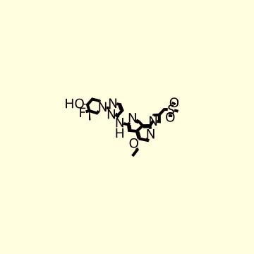 CCOc1cnc(N2CC(CS(C)(=O)=O)C2)c2cnc(Nc3ccnc(N4CC[C@@H](O)[C@@](C)(F)C4)n3)cc12